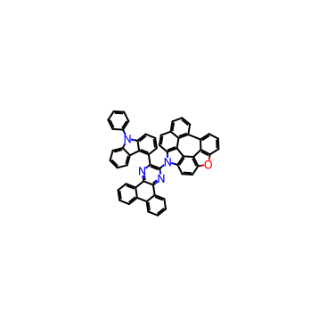 c1ccc(-n2c3ccccc3c3c(-c4nc5c6ccccc6c6ccccc6c5nc4-n4c5ccc6cccc7c6c5c5c6c(ccc54)oc4cccc-7c46)cccc32)cc1